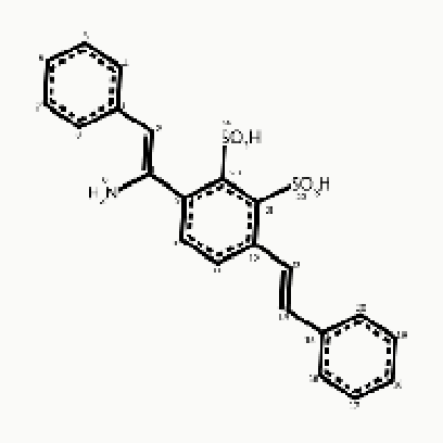 NC(=Cc1ccccc1)c1ccc(C=Cc2ccccc2)c(S(=O)(=O)O)c1S(=O)(=O)O